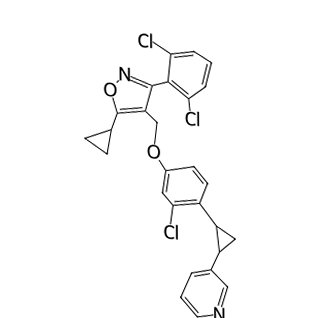 Clc1cc(OCc2c(-c3c(Cl)cccc3Cl)noc2C2CC2)ccc1C1CC1c1cccnc1